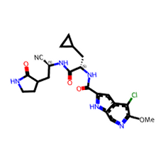 COc1ncc2[nH]c(C(=O)N[C@@H](CC3CC3)C(=O)N[C@H](C#N)CC3CCNC3=O)cc2c1Cl